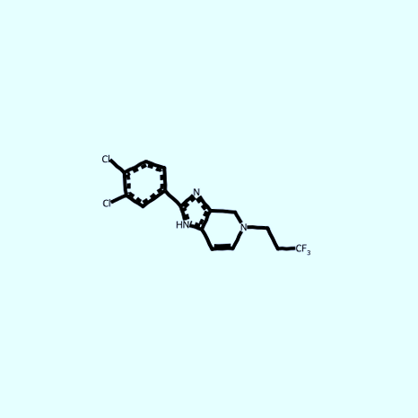 FC(F)(F)CCN1C=Cc2[nH]c(-c3ccc(Cl)c(Cl)c3)nc2C1